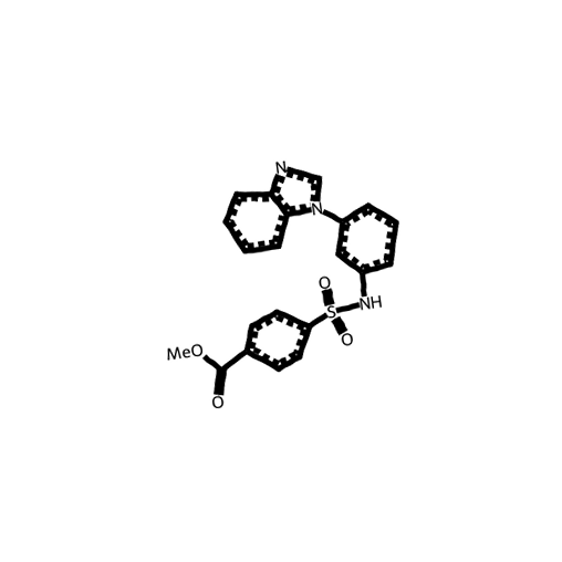 COC(=O)c1ccc(S(=O)(=O)Nc2cccc(-n3cnc4ccccc43)c2)cc1